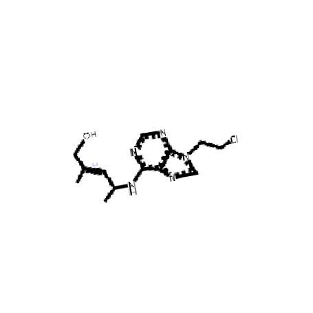 C/C(=C\C(C)Nc1ncnc2c1ncn2CCCl)CO